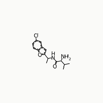 CC(NC(=O)[C@@H](N)C(C)C)c1cc2cc(Cl)ccc2o1